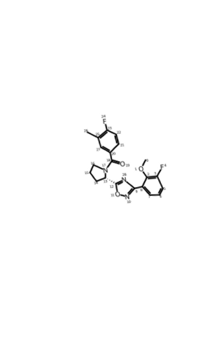 COc1c(F)cccc1-c1noc([C@@H]2CCCN2C(=O)c2ccc(F)c(C)c2)n1